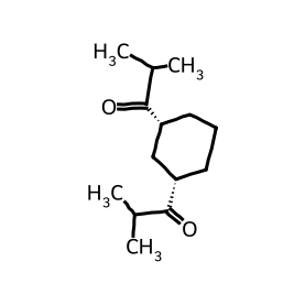 CC(C)C(=O)[C@@H]1CCC[C@H](C(=O)C(C)C)C1